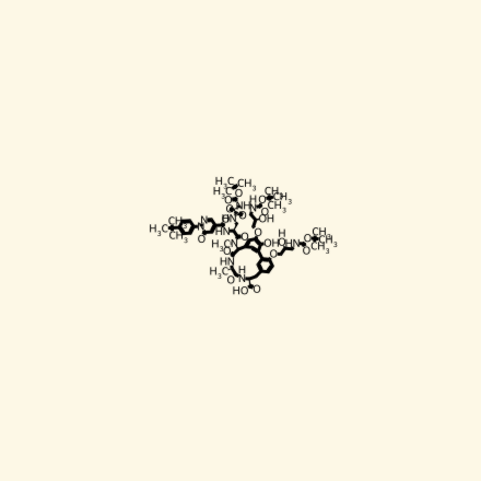 C[C@@H]1NC(=O)[C@@H](N(C)C(=O)[C@H](CNS(=O)(=O)NC(=O)OC(C)(C)C)NC(=O)c2cnn(-c3ccc(C(C)(C)C)cc3)c(=O)c2)c2cc(OC[C@H](O)CNC(=O)OC(C)(C)C)c(O)c(c2)-c2cc(ccc2OC[C@H](O)CNC(=O)OC(C)(C)C)C[C@@H](C(=O)O)NC1=O